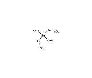 CCCC[O][Sn]([O]CCCC)([O]C(C)=O)[O]C(C)=O